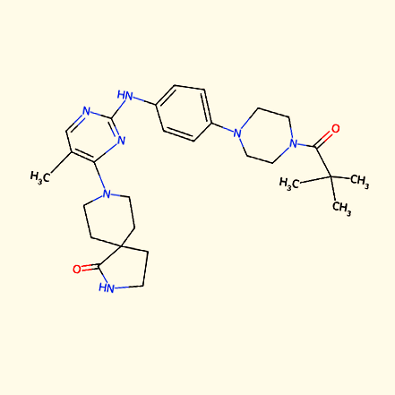 Cc1cnc(Nc2ccc(N3CCN(C(=O)C(C)(C)C)CC3)cc2)nc1N1CCC2(CCNC2=O)CC1